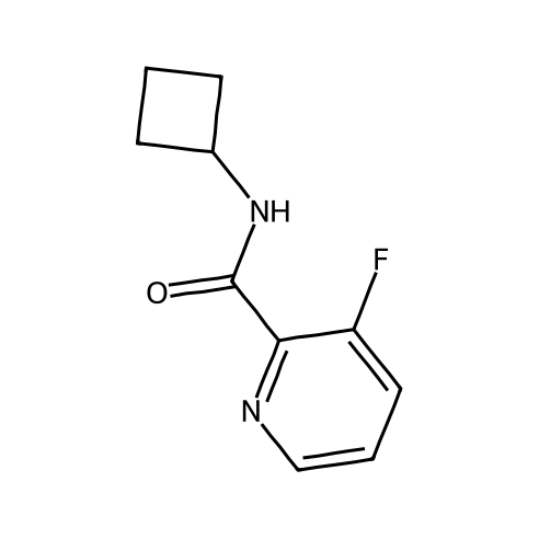 O=C(NC1CCC1)c1ncccc1F